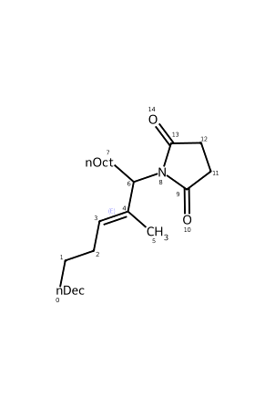 CCCCCCCCCCCC/C=C(\C)C(CCCCCCCC)N1C(=O)CCC1=O